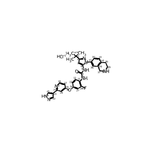 CC(C)(C)c1cc(NC(=O)Nc2ccc(Oc3ccnc(-c4cn[nH]c4)c3)cc2F)n(-c2ccc3c(c2)CNCC3)n1.Cl